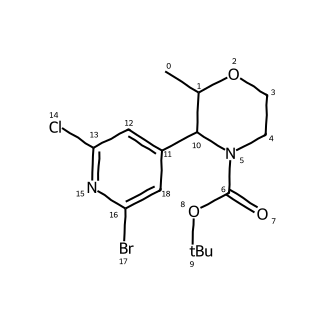 CC1OCCN(C(=O)OC(C)(C)C)C1c1cc(Cl)nc(Br)c1